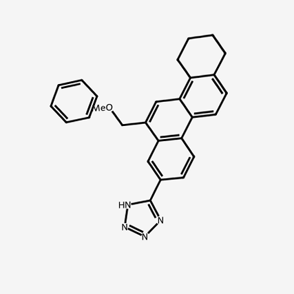 COCc1cc2c3c(ccc2c2ccc(-c4nnn[nH]4)cc12)CCCC3.c1ccccc1